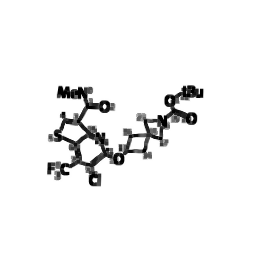 CNC(=O)c1csc2c(C(F)(F)F)c(Cl)c(OC3CC4(C3)CN(C(=O)OC(C)(C)C)C4)nc12